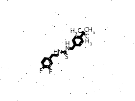 CC(C)(C)c1ccc(CNC(=S)NCCc2ccc(F)c(F)c2)cc1